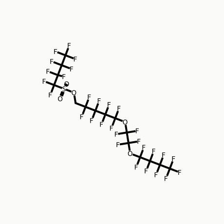 O=S(=O)(OCC(F)(F)C(F)(F)C(F)(F)C(F)(F)OC(F)(F)C(F)(F)OC(F)(F)C(F)(F)C(F)(F)C(F)(F)F)C(F)(F)C(F)(F)C(F)(F)C(F)(F)F